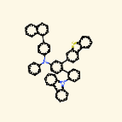 c1ccc(N(c2ccc(-c3cccc4ccccc34)cc2)c2ccc(-c3ccccc3-n3c4ccccc4c4ccccc43)c(-c3ccc4c(c3)sc3ccccc34)c2)cc1